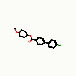 CO[C@H]1CC[C@H](OC(=O)c2ccc(-c3ccc(F)cc3)cc2)CC1